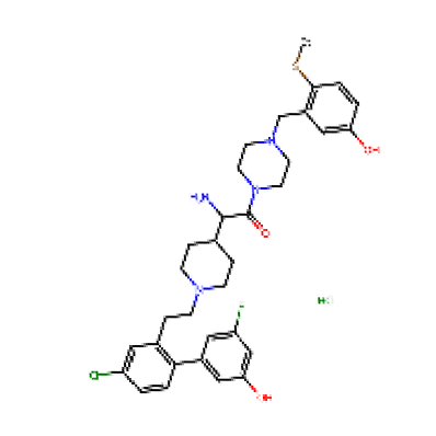 CCSc1ccc(O)cc1CN1CCN(C(=O)C(N)C2CCN(CCc3cc(Cl)ccc3-c3cc(O)cc(F)c3)CC2)CC1.Cl